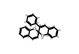 C1=CC2(Oc3ccccc31)Oc1ccccc1C=C2c1ccccc1